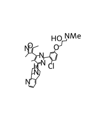 CNC[C@@H](O)COc1ccc(Cl)c(-c2nc(-c3c(C)noc3C)c(C)c(C3CC4NC(C3)c3ncccc34)n2)c1